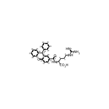 N=C(N)NCCC[C@H](NC(=O)c1ccc(=O)n(C(c2ccccc2)c2ccccc2)c1)C(=O)O